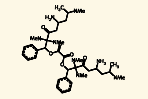 CNC(C)CC(N)CC(=O)C(NC)(NC)C(OC(=O)C(=O)OC(c1ccccc1)C(NC)(NC)C(=O)CC(N)CC(C)NC)c1ccccc1